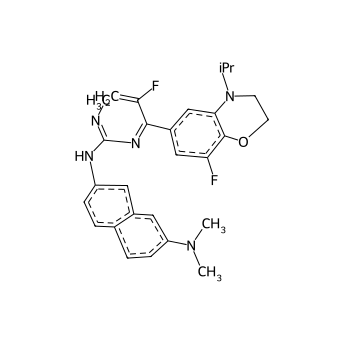 C=C(F)/C(=N\C(=N/C)Nc1ccc2ccc(N(C)C)cc2c1)c1cc(F)c2c(c1)N(C(C)C)CCO2